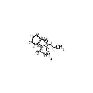 CCCS(=O)(=O)N(C(N)=O)c1ccccc1Br